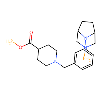 O=C(OP)C1CCN(Cc2cccc(N3C4CCC3CN(P)C4)c2)CC1